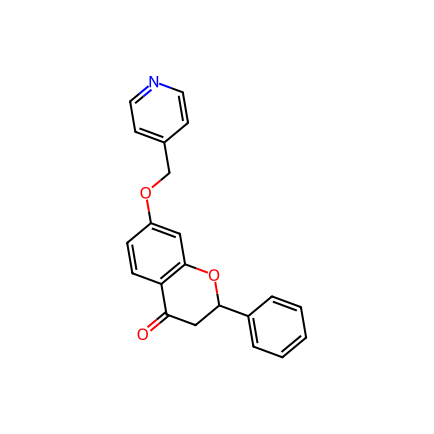 O=C1CC(c2ccccc2)Oc2cc(OCc3ccncc3)ccc21